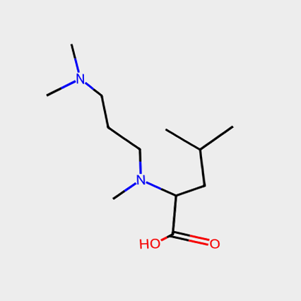 CC(C)CC(C(=O)O)N(C)CCCN(C)C